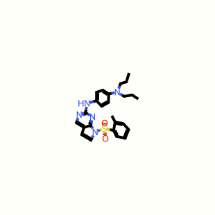 CCCN(CCC)c1ccc(Nc2ncc3ccn(S(=O)(=O)c4ccccc4C)c3n2)cc1